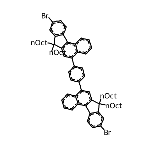 CCCCCCCCC1(CCCCCCCC)c2cc(Br)ccc2-c2c1cc(-c1ccc(-c3cc4c(c5ccccc35)-c3ccc(Br)cc3C4(CCCCCCCC)CCCCCCCC)cc1)c1ccccc21